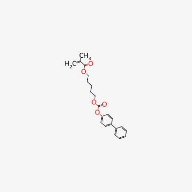 C=C(C)C(=O)OCCCCCOC(=O)Oc1ccc(-c2ccccc2)cc1